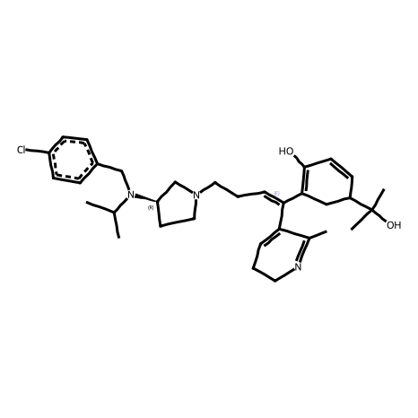 CC1=NCCC=C1/C(=C\CCN1CC[C@@H](N(Cc2ccc(Cl)cc2)C(C)C)C1)C1=C(O)C=CC(C(C)(C)O)C1